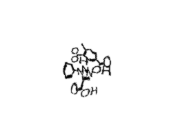 Cc1ccc(C(=O)O)cc1C(=O)O.O=C(O)c1cnnn1-c1ccccc1